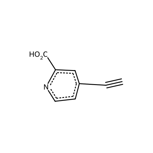 C#Cc1ccnc(C(=O)O)c1